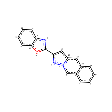 c1ccc2cn3nc(-c4nc5ccccc5o4)cc3cc2c1